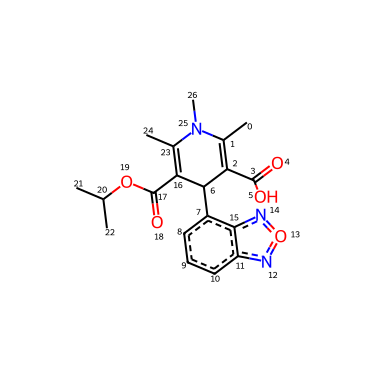 CC1=C(C(=O)O)C(c2cccc3nonc23)C(C(=O)OC(C)C)=C(C)N1C